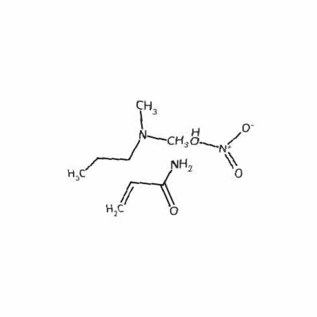 C=CC(N)=O.CCCN(C)C.O=[N+]([O-])O